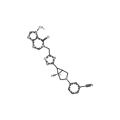 Cn1cnc2ncn(Cc3nc(C4C5CN(c6cccc(C#N)c6)C[C@@H]54)no3)c(=O)c21